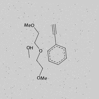 C#Cc1ccccc1.CO.COCCOCCOC